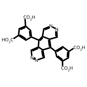 O=C(O)c1cc(C(=O)O)cc(-c2c3cnncc3c(-c3cc(C(=O)O)cc(C(=O)O)c3)c3cnncc23)c1